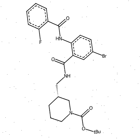 CC(C)(C)OC(=O)N1CCC[C@H](CNC(=O)c2cc(Br)ccc2NC(=O)c2ccccc2F)C1